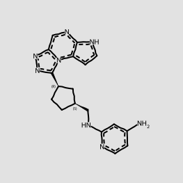 Nc1ccnc(NC[C@H]2CC[C@@H](c3nnc4cnc5[nH]ccc5n34)C2)c1